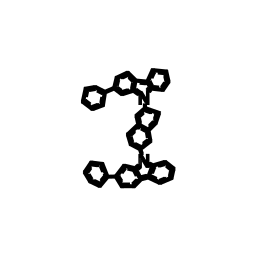 c1ccc(-c2ccc3c4ccccc4n(-c4ccc5cc(-n6c7ccccc7c7ccc(-c8ccccc8)cc76)ccc5c4)c3c2)cc1